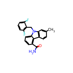 Cc1c[c]c2c3c(C(N)=O)cccc3n(Cc3c(F)cccc3F)c2c1